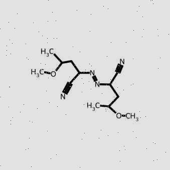 COC(C)CC(C#N)N=NC(C#N)CC(C)OC